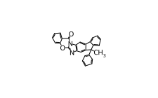 CC1(c2ccccc2)c2ccccc2-c2cc3c(cc21)nc1oc2ccccc2c(=O)n13